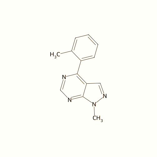 Cc1ccccc1-c1ncnc2c1cnn2C